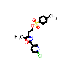 Cc1ccc(S(=O)(=O)OCCc2nc(-c3ccc(Cl)nc3)oc2C)cc1